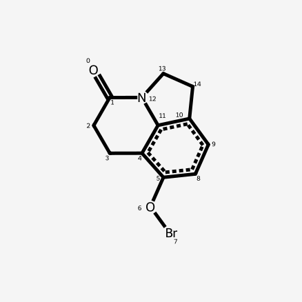 O=C1CCc2c(OBr)ccc3c2N1CC3